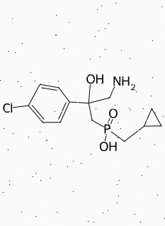 NCC(O)(CP(=O)(O)CC1CC1)c1ccc(Cl)cc1